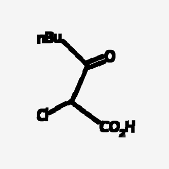 CCCCC(=O)C(Cl)C(=O)O